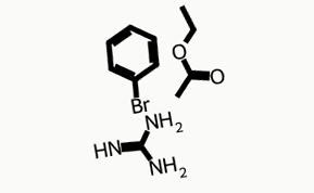 Brc1ccccc1.CCOC(C)=O.N=C(N)N